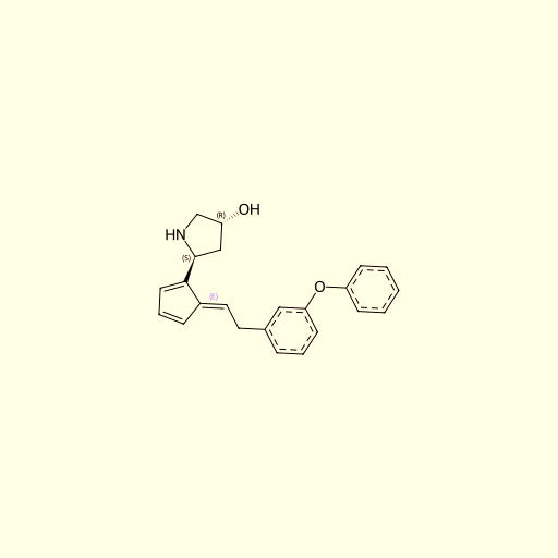 O[C@H]1CN[C@H](C2=CC=C/C2=C\Cc2cccc(Oc3ccccc3)c2)C1